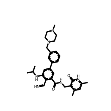 Cc1cc(C)c(CNC(=O)c2cc(-c3cccc(CN4CCN(C)CC4)c3)cc(NC(C)C)c2C=N)c(=O)[nH]1